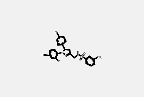 Cc1cccc(S(=O)(=O)NCC2=NN(c3ccc(Cl)cc3Cl)C(c3ccc(Cl)cc3)C2)c1